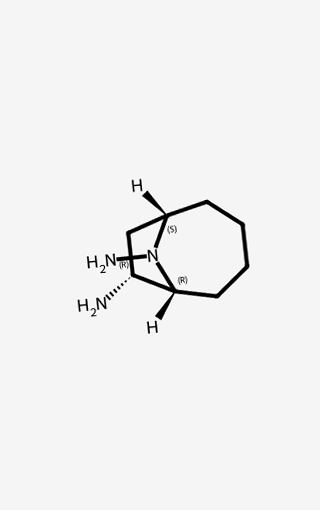 N[C@@H]1C[C@@H]2CCCC[C@H]1N2N